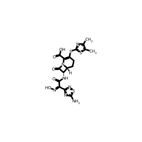 Cc1nc(SC2=C(C(=O)O)N3C(=O)[C@@H](NC(=O)/C(=N\O)c4nsc(N)n4)[C@H]3CC2)sc1C